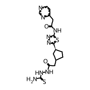 NC(=S)NNC(=O)CC1CC[C@H](c2nnc(NC(=O)Cc3ccncn3)s2)C1